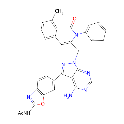 CC(=O)Nc1nc2ccc(-c3nn(Cc4cc5cccc(C)c5c(=O)n4-c4ccccc4)c4ncnc(N)c34)cc2o1